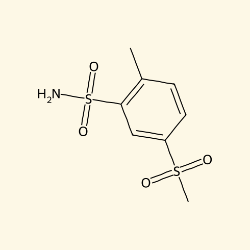 Cc1ccc(S(C)(=O)=O)cc1S(N)(=O)=O